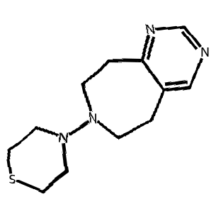 c1ncc2c(n1)CCN(N1CCSCC1)CC2